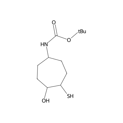 CC(C)(C)OC(=O)NC1CCC(O)C(S)CC1